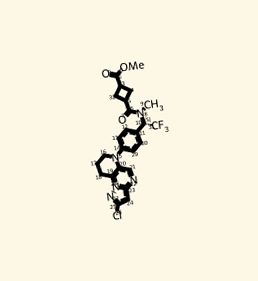 COC(=O)C1CC(C(=O)N(C)[C@@H](c2ccc(N3CCCc4c3cnc3cc(Cl)nn43)cc2)C(F)(F)F)C1